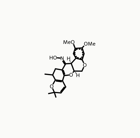 COc1cc2c(cc1OC)[C@@H]1/C(=N/O)C3=C(O[C@@H]1CO2)C1=C(OC(C)(C)C=C1)C(C)C3